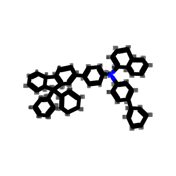 C1=CC2c3ccc(-c4ccc(N(c5ccc(-c6ccccc6)cc5)c5cccc6ccccc56)cc4)cc3C(C3=CCCC=C3)(c3ccccc3)C2C=C1